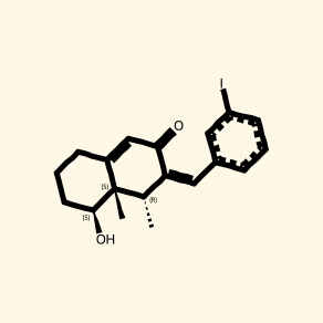 C[C@H]1C(=Cc2cccc(I)c2)C(=O)C=C2CCC[C@H](O)[C@]21C